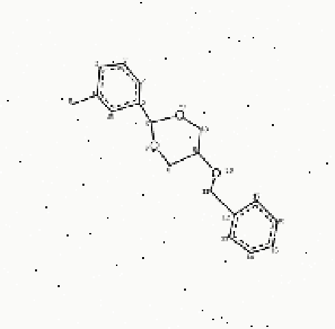 Cc1cccc(C2OCC(OCc3ccccc3)CO2)c1